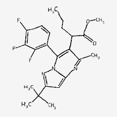 CCCC(C(=O)OC)c1c(C)nc2cc(C(C)(C)C)nn2c1-c1ccc(F)c(F)c1F